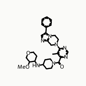 COC1COCCC1NC1CCN(C(=O)c2ncnc(N3CCn4c(-c5ccccc5)cnc4C3)c2C)CC1